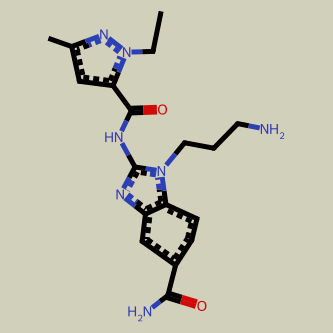 CCn1nc(C)cc1C(=O)Nc1nc2cc(C(N)=O)ccc2n1CCCN